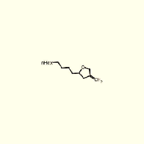 C=C1COC(CCCCCCCCCC)C1